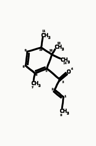 CC=CC(=O)C1=C(C)C=CC(C)C1(C)C